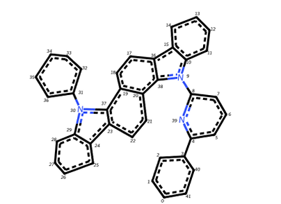 c1ccc(-c2cccc(-n3c4ccccc4c4ccc5c(ccc6c7ccccc7n(-c7ccccc7)c65)c43)n2)cc1